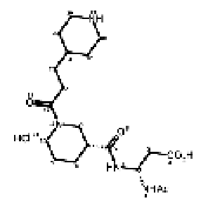 CC(=O)N[C@@H](CC(=O)O)NC(=O)[C@@H]1CCCN(C(=O)CCC2CCNCC2)C1.Cl